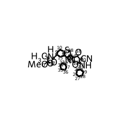 COC(=O)[C@H](C)NC(=O)c1ccc2c(c1)-c1c(c(C(=O)C(C#N)C(=O)Nc3ccccc3)nn1-c1ccccc1)CS2